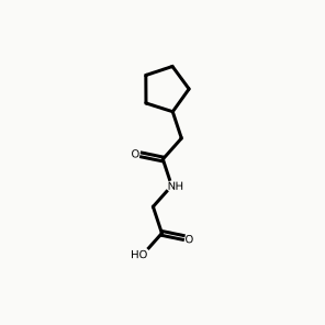 O=C(O)CNC(=O)CC1CCCC1